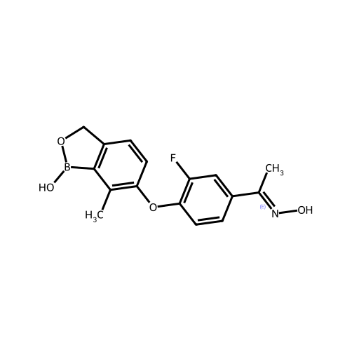 C/C(=N\O)c1ccc(Oc2ccc3c(c2C)B(O)OC3)c(F)c1